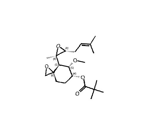 CO[C@@H]1[C@H](OC(=O)C(C)(C)C)CC[C@]2(CO2)[C@H]1[C@@]1(C)O[C@@H]1CC=C(C)C